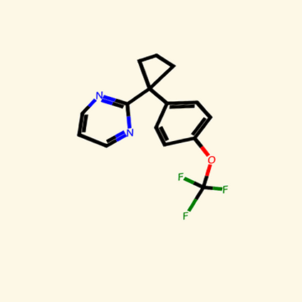 FC(F)(F)Oc1ccc(C2(c3ncccn3)CCC2)cc1